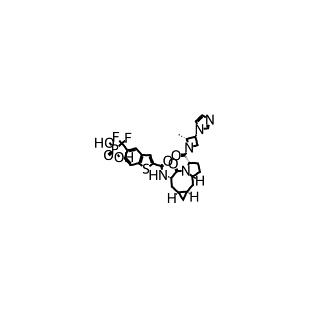 C[C@@H]1[C@@H](n2ccnc2)CN1C(=O)[C@@H]1CC[C@@H]2C[C@H]3C[C@H]3C[C@H](NC(=O)c3cc4cc(C(F)(F)P(=O)(O)O)ccc4s3)C(=O)N21